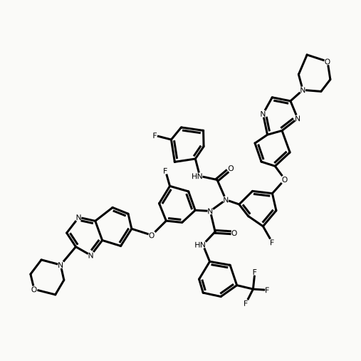 O=C(Nc1cccc(F)c1)N(c1cc(F)cc(Oc2ccc3ncc(N4CCOCC4)nc3c2)c1)N(C(=O)Nc1cccc(C(F)(F)F)c1)c1cc(F)cc(Oc2ccc3ncc(N4CCOCC4)nc3c2)c1